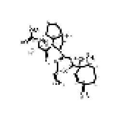 C=CC/N=C(\NC(C)[C@@]1(C)/C=C\C(=C)CCC[C@H]1C)[C@@H]1C[C@@H]2CCCC[C@@H]2N1C(=O)[C@@H](NC(=O)OC)C(C)C